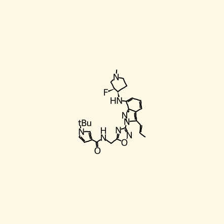 C/C=C/c1c2cccc(N[C@@H]3CCN(C)C[C@@H]3F)c2nn1-c1noc(CNC(=O)c2ccn(C(C)(C)C)c2)n1